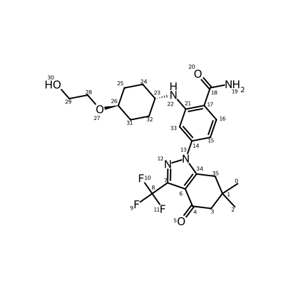 CC1(C)CC(=O)c2c(C(F)(F)F)nn(-c3ccc(C(N)=O)c(N[C@H]4CC[C@H](OCCO)CC4)c3)c2C1